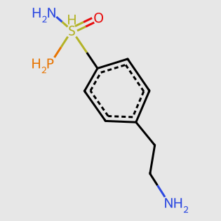 NCCc1ccc([SH](N)(=O)P)cc1